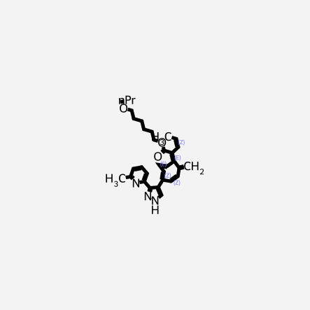 C=C1\C=C/C(c2c[nH]nc2-c2cccc(C)n2)=C/C=C/C1=C(/C=C\C)C(=O)OCCCCCCOCCC